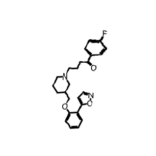 O=C(CCCN1CCCC(COc2ccccc2-c2ccno2)C1)c1ccc(F)cc1